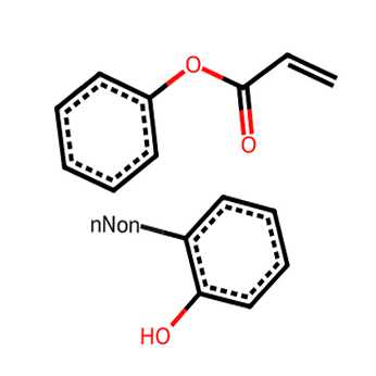 C=CC(=O)Oc1ccccc1.CCCCCCCCCc1ccccc1O